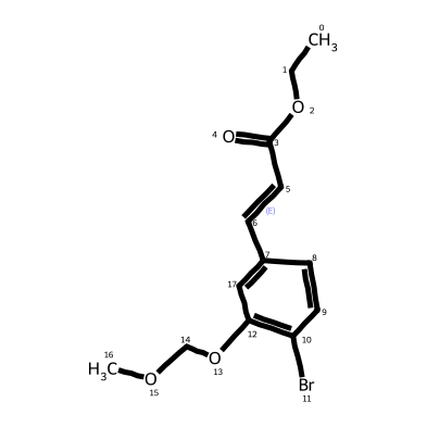 CCOC(=O)/C=C/c1ccc(Br)c(OCOC)c1